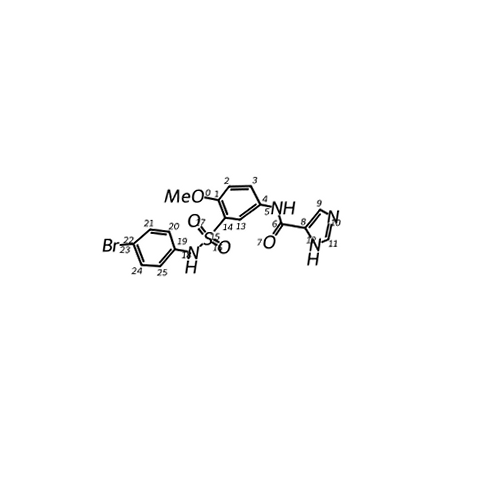 COc1ccc(NC(=O)c2cnc[nH]2)cc1S(=O)(=O)Nc1ccc(Br)cc1